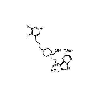 COc1ccc2ncc(CO)c([C@H](F)CCC3(CO)CCN(CCCc4cc(F)cc(F)c4F)CC3)c2c1